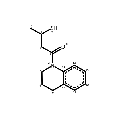 CC(S)CC(=O)N1CCCc2ccccc21